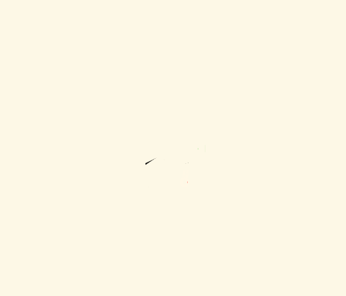 O=C(Cl)[C@@H](CC1CC1)c1ccccc1